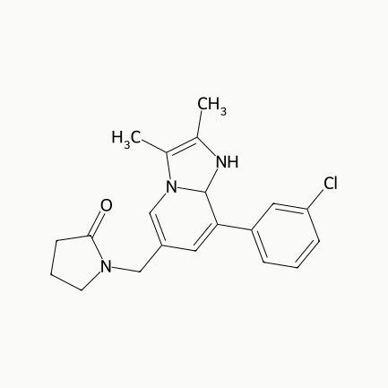 CC1=C(C)N2C=C(CN3CCCC3=O)C=C(c3cccc(Cl)c3)C2N1